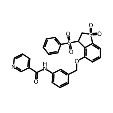 O=C(Nc1cccc(COc2cccc3c2C(S(=O)(=O)c2ccccc2)CS3(=O)=O)c1)c1cccnc1